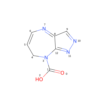 O=C(O)N1CC=CN=C2C=NN=C21